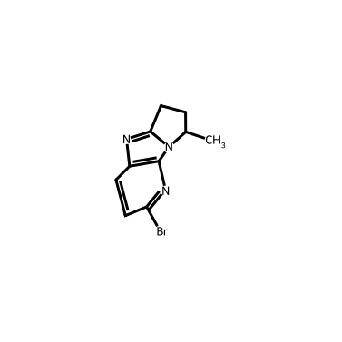 CC1CCc2nc3ccc(Br)nc3n21